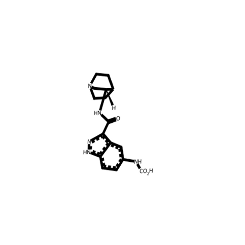 O=C(O)Nc1ccc2[nH]nc(C(=O)N[C@@H]3CN4CCC3CC4)c2c1